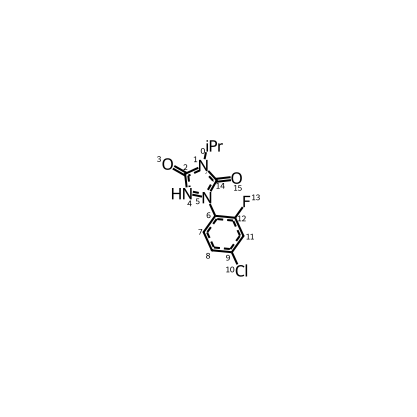 CC(C)n1c(=O)[nH]n(-c2ccc(Cl)cc2F)c1=O